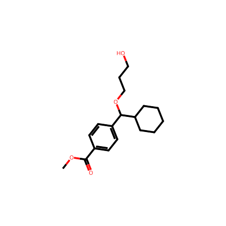 COC(=O)c1ccc(C(OCCCO)C2CCCCC2)cc1